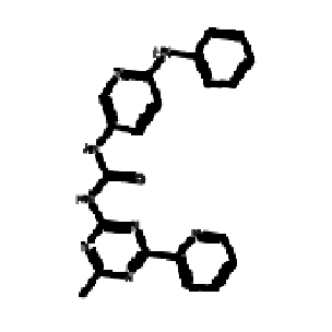 Cc1nc(NC(=O)Nc2ccc(Nc3ccccc3)nc2)nc(-c2ccccn2)n1